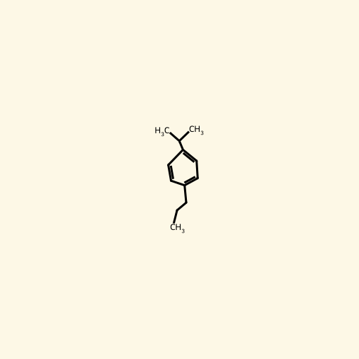 CCCc1ccc([C](C)C)cc1